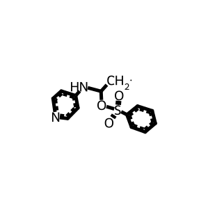 [CH2]C(Nc1ccncc1)OS(=O)(=O)c1ccccc1